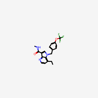 CCc1ccnc2c(C(=O)NC)cn(Cc3ccc(OC(F)(F)F)cc3)c12